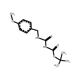 COc1ccc(CNC(=S)NC(=O)OC(C)(C)C)cc1